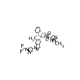 Cc1cc2c(cnn2-c2cnn(C(F)F)c2)cc1C1(Cc2ccccc2)CCN(S(=O)(=O)c2cnn(C)n2)C1